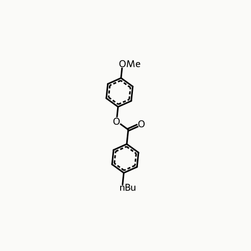 CCCCc1ccc(C(=O)Oc2ccc(OC)cc2)cc1